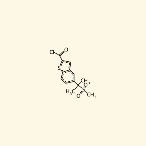 CC(C)(c1ccc2sc(C(=O)Cl)cc2c1)S(C)(=O)=O